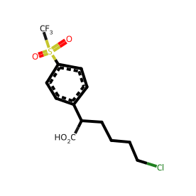 O=C(O)C(CCCCCl)c1ccc(S(=O)(=O)C(F)(F)F)cc1